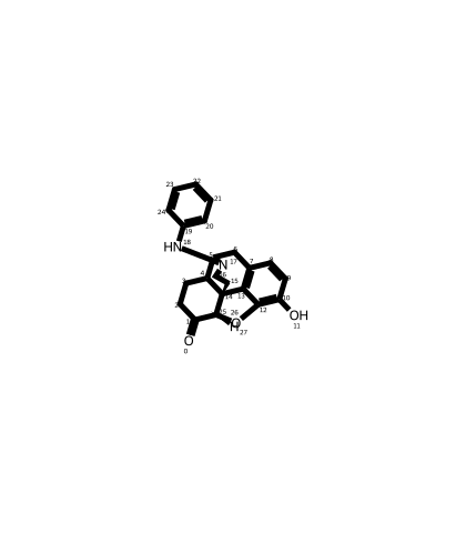 O=C1CCC2C3Cc4ccc(O)c5c4[C@]2(CCN3Nc2ccccc2)[C@@H]1O5